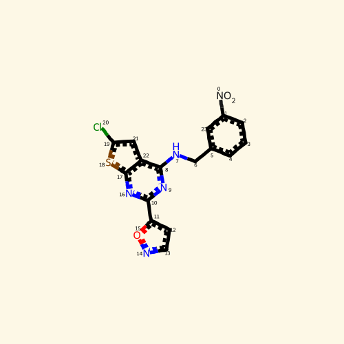 O=[N+]([O-])c1cccc(CNc2nc(-c3ccno3)nc3sc(Cl)cc23)c1